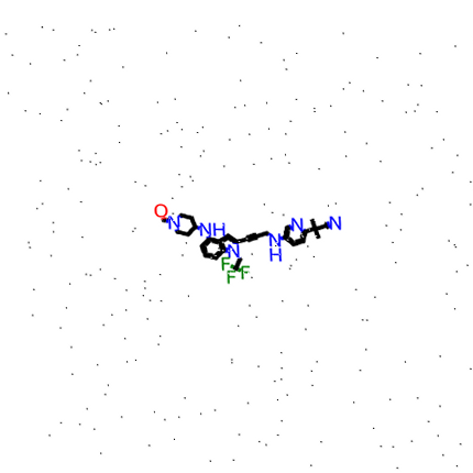 CC(C)(C#N)c1ccc(NCC#Cc2cc3c(NC4CCN(C=O)CC4)cccc3n2CC(F)(F)F)cn1